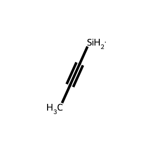 CC#C[SiH2]